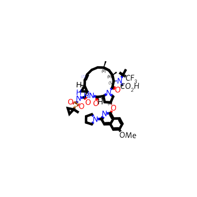 COc1ccc2c(O[C@@H]3C[C@H]4C(=O)N[C@]5(C(=O)NS(=O)(=O)C6(C)CC6)C[C@H]5/C=C\CC[C@@H](C)C[C@@H](C)[C@H](N(C(=O)O)C(C)(C)C(F)(F)F)C(=O)N4C3)nc(N3CCCC3)cc2c1